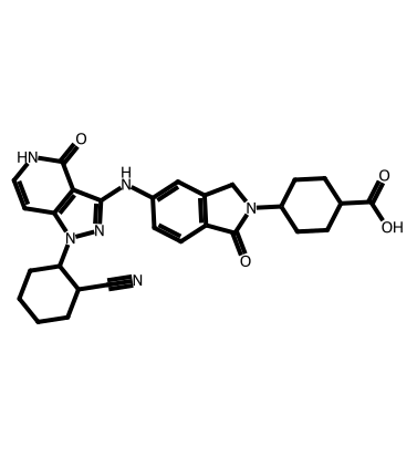 N#CC1CCCCC1n1nc(Nc2ccc3c(c2)CN(C2CCC(C(=O)O)CC2)C3=O)c2c(=O)[nH]ccc21